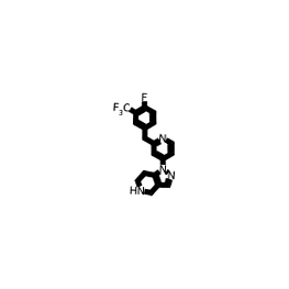 Fc1ccc(Cc2cc(-n3ncc4c3CCNC4)ccn2)cc1C(F)(F)F